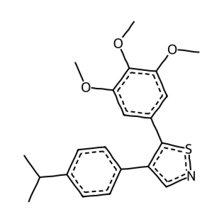 COc1cc(-c2sncc2-c2ccc(C(C)C)cc2)cc(OC)c1OC